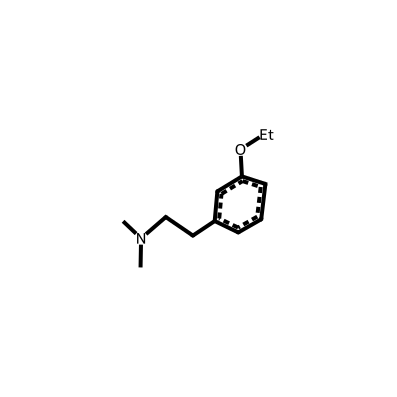 CCOc1cccc(CCN(C)C)c1